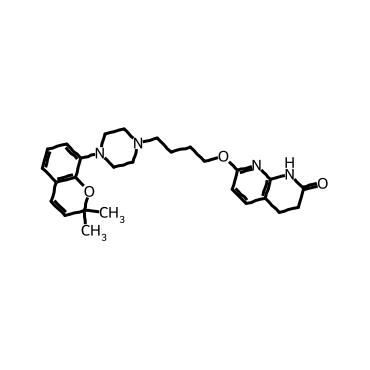 CC1(C)C=Cc2cccc(N3CCN(CCCCOc4ccc5c(n4)NC(=O)CC5)CC3)c2O1